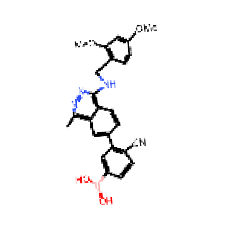 COc1ccc(CNc2nnc(C)c3cc(-c4cc(B(O)O)ccc4C#N)ccc23)c(OC)c1